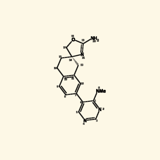 CNc1ncncc1-c1ccc2c(c1)C[C@]1(CC2)COC(N)=N1